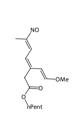 CCCCCOC(=O)CC(=C/C=C(\C)N=O)/C=C/OC